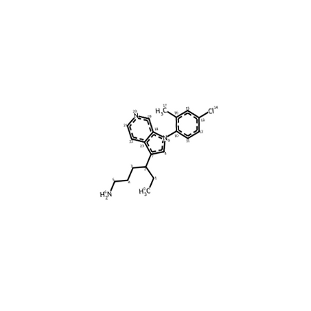 CCC(CCCN)c1cn(-c2ccc(Cl)cc2C)c2cnccc12